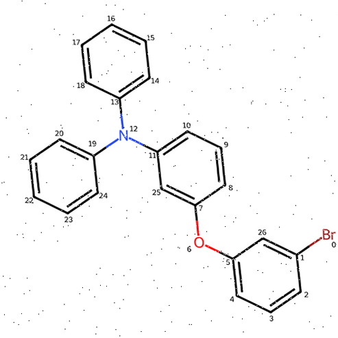 Brc1cccc(Oc2cccc(N(c3ccccc3)c3ccccc3)c2)c1